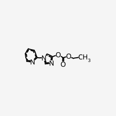 CCOC(=O)Oc1cn(-c2ccccn2)cn1